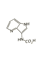 O=C(O)Nc1c[nH]c2cccnc12